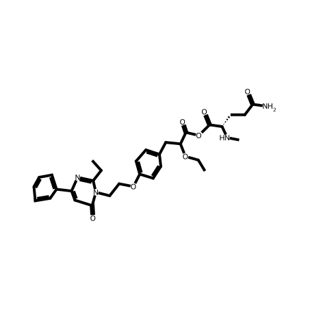 CCOC(Cc1ccc(OCCn2c(CC)nc(-c3ccccc3)cc2=O)cc1)C(=O)OC(=O)[C@H](CCC(N)=O)NC